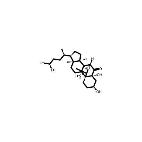 CC[C@H](CC[C@@H](C)[C@H]1CC[C@H]2[C@@H]3[C@H]4O[C@H](C)[C@@]5(CC[C@H](O)C[C@]5(O)C4=O)[C@H]3CC[C@]12C)C(C)C